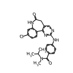 CC(C)N(C)C(=O)c1ccc(Nc2ncc3c(n2)-c2ccc(Cl)cc2NC(=O)C3)cc1